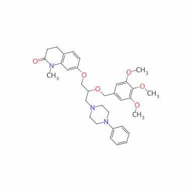 COc1cc(COC(COc2ccc3c(c2)N(C)C(=O)CC3)CN2CCN(c3ccccc3)CC2)cc(OC)c1OC